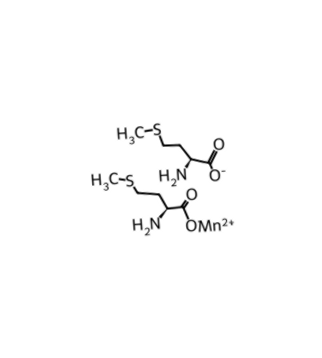 CSCC[C@H](N)C(=O)[O-].CSCC[C@H](N)C(=O)[O-].[Mn+2]